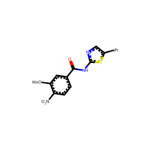 COc1cc(C(=O)Nc2ncc(C(C)C)s2)ccc1[N+](=O)[O-]